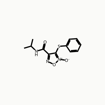 CC(C)NC(=O)c1no[n+]([O-])c1Sc1ccccc1